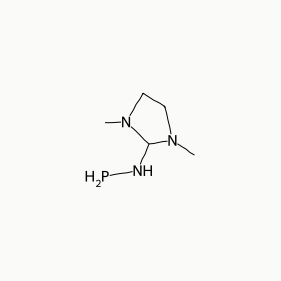 CN1CCN(C)C1NP